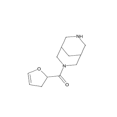 O=C(C1CC=CO1)N1CC2CNCC(C2)C1